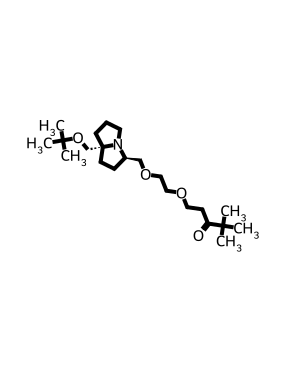 CC(C)(C)OC[C@]12CCCN1[C@@H](COCCOCCC(=O)C(C)(C)C)CC2